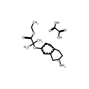 CCOC(=O)C(C)(C)Oc1ccc2c(c1)C[C@H](N)CC2.O=C(O)C(=O)O